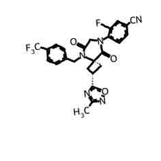 Cc1noc([C@H]2C[C@@]3(C2)C(=O)N(c2ccc(C#N)cc2F)CC(=O)N3Cc2ccc(C(F)(F)F)cc2)n1